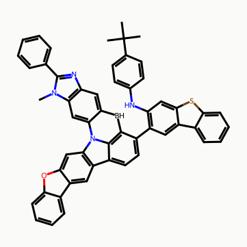 Cn1c(-c2ccccc2)nc2cc3c(cc21)-n1c2cc4oc5ccccc5c4cc2c2ccc(-c4cc5c(cc4Nc4ccc(C(C)(C)C)cc4)sc4ccccc45)c(c21)B3